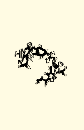 C=C(/C(Cl)=C(F)\C=C/C)c1cn(CC(=O)Nc2ccc3c(c2)C[C@@]2(C3)C(=O)Nc3ncccc32)c(=O)n(C(C)C)c1=O